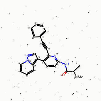 CNC(C)C(=O)Nc1ccc(-c2cnn3ccccc23)c(C#Cc2ccccc2)n1